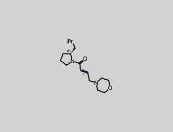 CC(C)C[C@@H]1CCCN1C(=O)/C=C/CN1CCOCC1